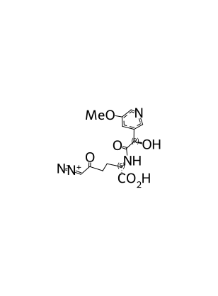 COc1cncc([C@@H](O)C(=O)N[C@@H](CCC(=O)C=[N+]=[N-])C(=O)O)c1